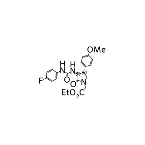 CCOC(=O)CN1C[C@@H](c2ccc(OC)cc2)[C@H](NC(=O)Nc2ccc(F)cc2)C1=O